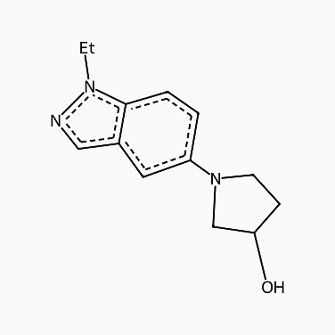 CCn1ncc2cc(N3CCC(O)C3)ccc21